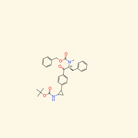 CN(C(=O)OCc1ccccc1)[C@@H](Cc1ccccc1)C(=O)c1ccc(C2CC2NC(=O)OC(C)(C)C)cc1